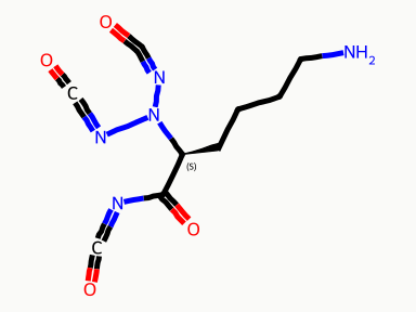 NCCCC[C@@H](C(=O)N=C=O)N(N=C=O)N=C=O